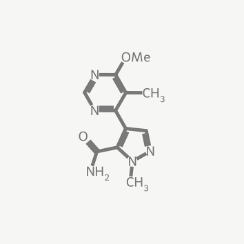 COc1ncnc(-c2cnn(C)c2C(N)=O)c1C